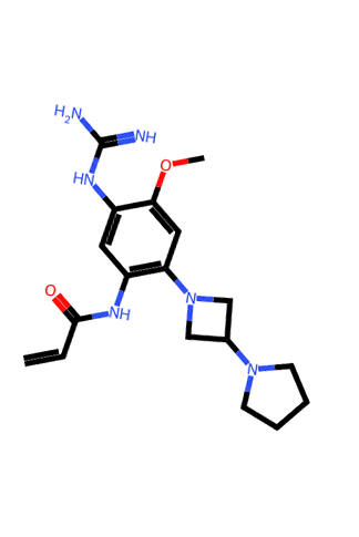 C=CC(=O)Nc1cc(NC(=N)N)c(OC)cc1N1CC(N2CCCC2)C1